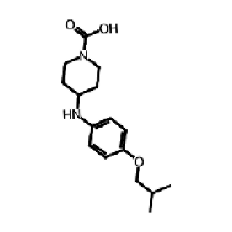 CC(C)COc1ccc(NC2CCN(C(=O)O)CC2)cc1